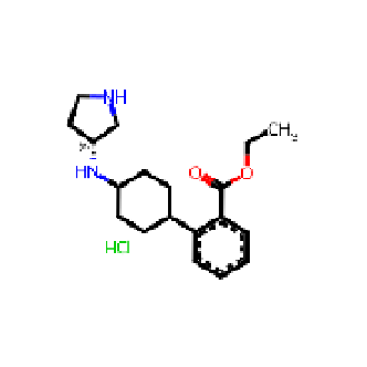 CCOC(=O)c1ccccc1C1CCC(N[C@@H]2CCNC2)CC1.Cl